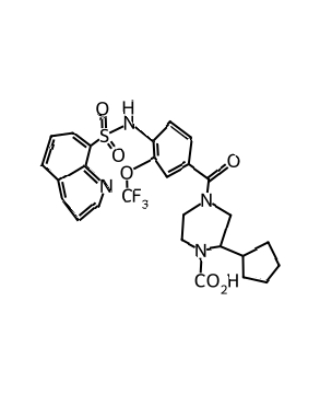 O=C(c1ccc(NS(=O)(=O)c2cccc3cccnc23)c(OC(F)(F)F)c1)N1CCN(C(=O)O)C(C2CCCC2)C1